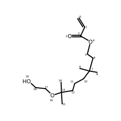 C=CC(=O)OCCC(C)(C)CCCC(C)(C)OCCO